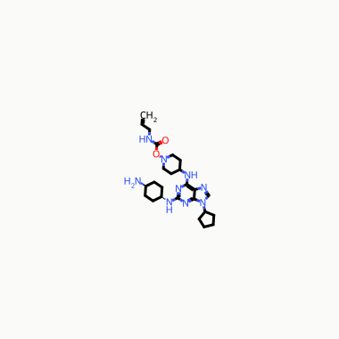 C=CCNC(=O)ON1CCC(Nc2nc(N[C@H]3CC[C@H](N)CC3)nc3c2ncn3C2CCCC2)CC1